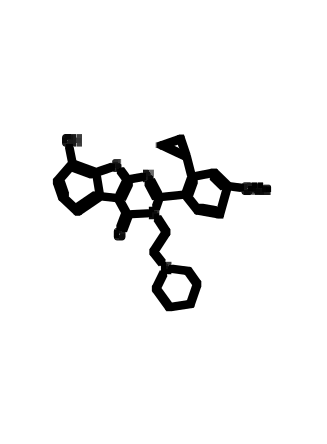 COc1ccc(-c2nc3sc4c(O)cccc4c3c(=O)n2CCN2CCCCC2)c(C2CC2)c1